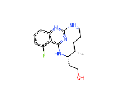 CCC[C@H](C)[C@H](CCO)Nc1nc(N)nc2cccc(F)c12